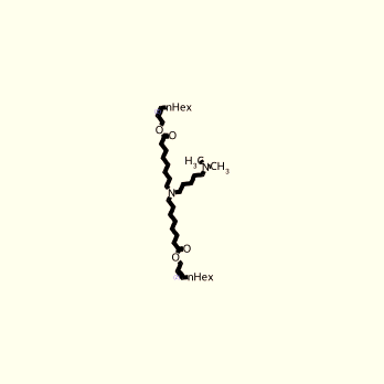 CCCCCC/C=C\COC(=O)CCCCCCCN(CCCCCCCC(=O)OC/C=C\CCCCCC)CCCCCN(C)C